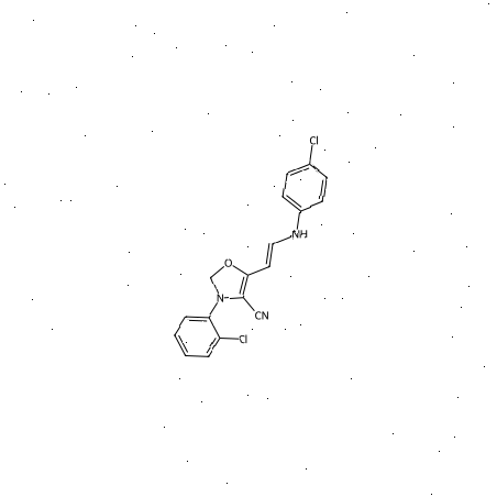 N#CC1=C(/C=C/Nc2ccc(Cl)cc2)OCN1c1ccccc1Cl